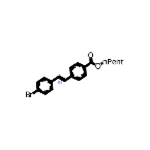 CCCCCOC(=O)c1ccc(/C=C/c2ccc(Br)cc2)cc1